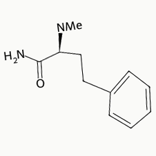 CN[C@@H](CCc1ccccc1)C(N)=O